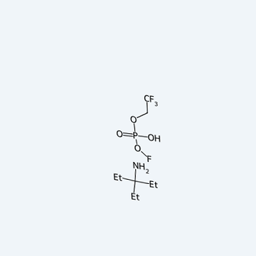 CCC(N)(CC)CC.O=P(O)(OF)OCC(F)(F)F